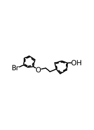 Oc1ccc(CCOc2cccc(Br)c2)cc1